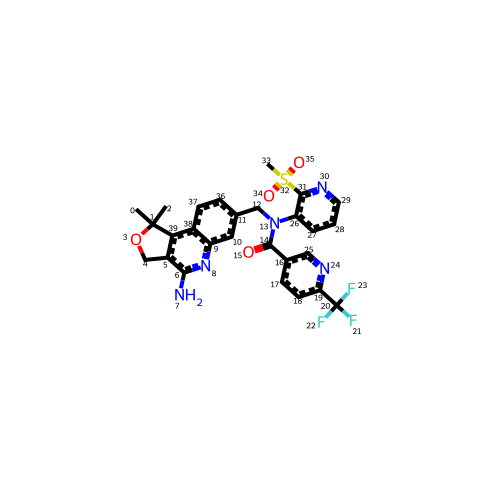 CC1(C)OCc2c(N)nc3cc(CN(C(=O)c4ccc(C(F)(F)F)nc4)c4cccnc4S(C)(=O)=O)ccc3c21